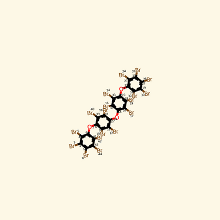 Brc1c(Br)c(Br)c(Oc2c(Br)c(Br)c(Oc3c(Br)c(Br)c(Oc4c(Br)c(Br)c(Br)c(Br)c4Br)c(Br)c3Br)c(Br)c2Br)c(Br)c1Br